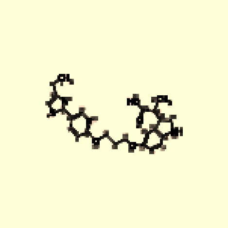 CCc1csc(-c2ccc(OCCCOc3ccc4[nH]cc(C(C)C(=O)O)c4c3)nc2)n1